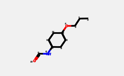 CCCOC1CCC(NC=O)CC1